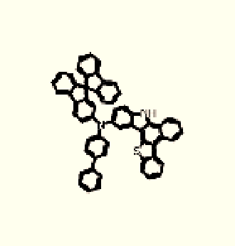 c1ccc(-c2ccc(N(c3ccc4c(c3)C3(c5ccccc5-c5ccccc53)c3ccccc3-4)c3ccc4[nH]c5c6ccccc6c6c7ccccc7sc6c5c4c3)cc2)cc1